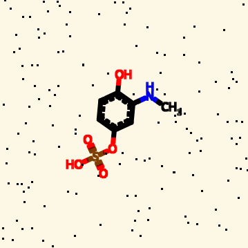 CNc1cc(OS(=O)(=O)O)ccc1O